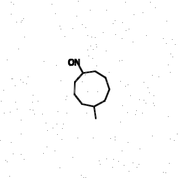 CC1CCCCC(N=O)CCC1